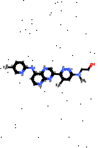 CN(CCO)c1cc(C(F)(F)F)c(-c2cnc3c(Nc4ccc(C(F)(F)F)cn4)ccnc3n2)nn1